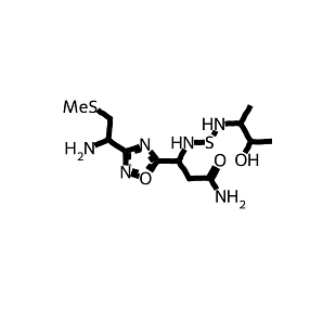 CSCC(N)c1noc(C(CC(N)=O)NSNC(C)C(C)O)n1